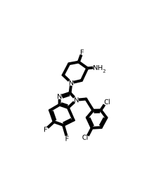 NC1CN(c2nc3cc(F)c(F)cc3n2Cc2cc(Cl)ccc2Cl)CCC1F